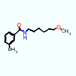 Bc1cccc(C(=O)NCCCCCCOC)c1